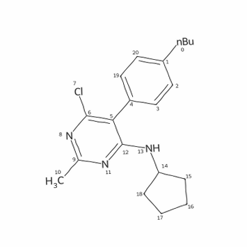 CCCCc1ccc(-c2c(Cl)nc(C)nc2NC2CCCC2)cc1